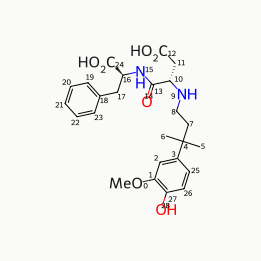 COc1cc(C(C)(C)CCN[C@@H](CC(=O)O)C(=O)N[C@@H](Cc2ccccc2)C(=O)O)ccc1O